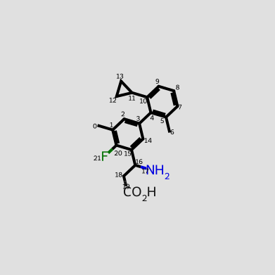 Cc1cc(-c2c(C)cccc2C2CC2)cc(C(N)CC(=O)O)c1F